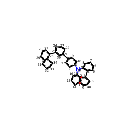 c1ccc(-c2ccccc2N(c2ccccc2)c2ccc(-c3cccc(-c4cccc5ccccc45)c3)cc2)cc1